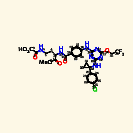 COC(=O)[C@H](CCNC(=O)C(=O)O)NC(=O)c1ccc(Nc2nc(NC3(c4ccc(Cl)cc4)CC3)nc(OCC(F)(F)F)n2)cc1